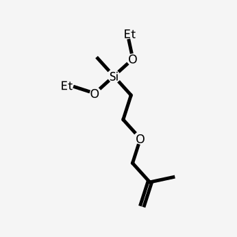 C=C(C)COCC[Si](C)(OCC)OCC